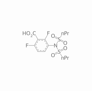 CCCS(=O)(=O)N(c1ccc(F)c(C(=O)O)c1F)S(=O)(=O)CCC